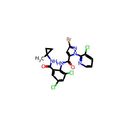 CC1(NC(=O)c2cc(Cl)cc(Cl)c2NC(=O)c2cc(Br)nn2-c2ncccc2Cl)CC1